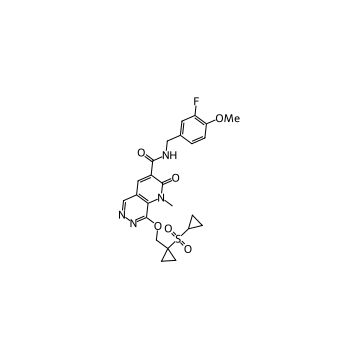 COc1ccc(CNC(=O)c2cc3cnnc(OCC4(S(=O)(=O)C5CC5)CC4)c3n(C)c2=O)cc1F